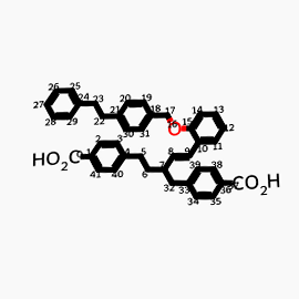 O=C(O)c1ccc(CCC(/C=C/c2ccccc2OCc2ccc(CCc3ccccc3)cc2)Cc2ccc(C(=O)O)cc2)cc1